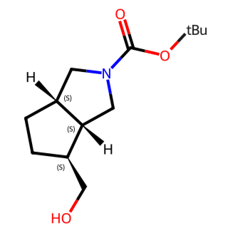 CC(C)(C)OC(=O)N1C[C@H]2CC[C@H](CO)[C@H]2C1